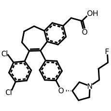 O=C(O)Cc1ccc2c(c1)CCCC(c1ccc(Cl)cc1Cl)=C2c1ccc(O[C@H]2CCN(CCCF)C2)cc1